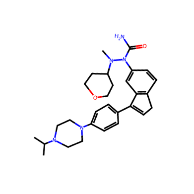 CC(C)N1CCN(c2ccc(C3=CCc4ccc(N(C(N)=O)N(C)C5CCOCC5)cc43)cc2)CC1